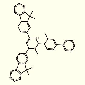 CC1C=C(c2ccccc2)C=CC1C1NC(C2=CCC3C(=C2)C(C)(C)c2ccccc23)=CC(c2ccc3c(c2)C(C)(C)c2ccccc2-3)N1C